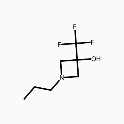 CCCN1CC(O)(C(F)(F)F)C1